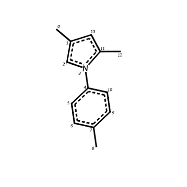 Cc1[c]n(-c2ccc(C)cc2)c(C)c1